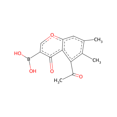 CC(=O)c1c(C)c(C)cc2occ(B(O)O)c(=O)c12